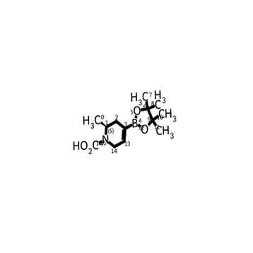 C[C@H]1CC(B2OC(C)(C)C(C)(C)O2)=CCN1C(=O)O